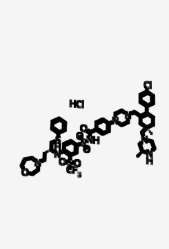 C[C@H]1CN(C[C@]2(C)CCC(c3ccc(Cl)cc3)=C(CN3CCN(c4ccc(C(=O)NS(=O)(=O)c5ccc(N[C@H](CCN6CCCOCC6)CSc6ccccc6)c(S(=O)(=O)C(F)(F)F)c5)cc4)CC3)C2)CCN1.Cl